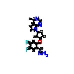 Cc1ncnc2c1ccn2C1CCC(Oc2cc(F)c(F)cc2CN)C1